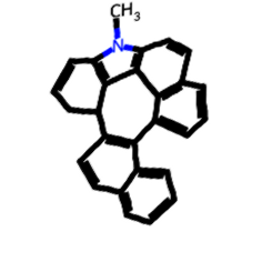 Cn1c2c3c4c5c(cccc5ccc41)-c1c(ccc4ccccc14)C3CC=C2